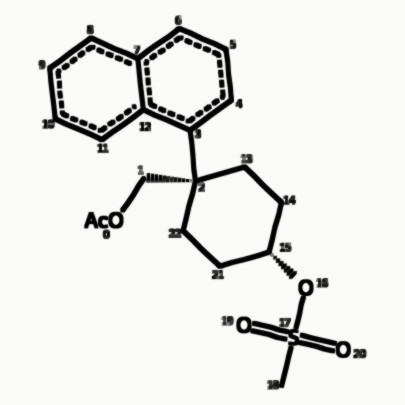 CC(=O)OC[C@]1(c2cccc3ccccc32)CC[C@H](OS(C)(=O)=O)CC1